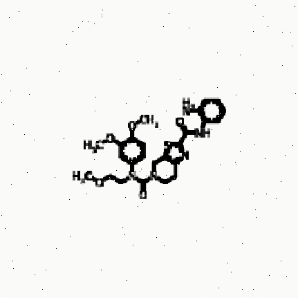 COCCN(C(=O)N1CCc2nc(C(=O)Nc3ccccc3N)sc2C1)c1ccc(OC)c(OC)c1